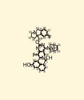 C#Cc1cccc2cc(O)cc(-c3ncc4c(N5CC6CCC(C5)N6)nc(OCC56CCCN5Cc5ccc(F)cc56)nc4c3F)c12